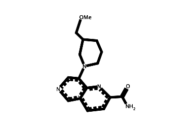 COCC1CCCN(c2cncc3ccc(C(N)=O)nc23)C1